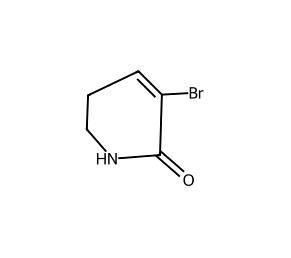 O=C1NCCC=C1Br